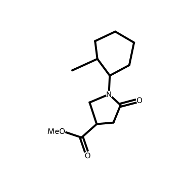 COC(=O)C1CC(=O)N(C2CCCCC2C)C1